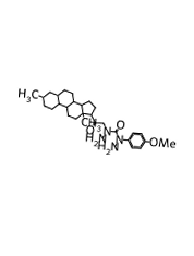 COc1ccc(N(N)C(=O)N(N)CC(=O)C2CCC3C4CCC5CC(C)CCC5C4CCC23C)cc1